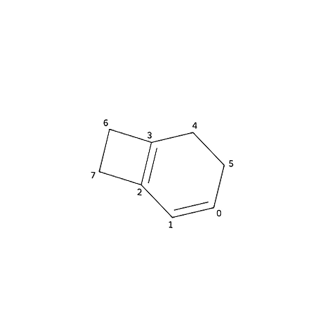 C1=CC2=C(CC1)CC2